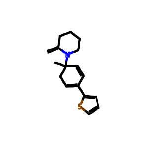 C=C1CCCCN1C1(C)C=CC(c2cccs2)=CC1